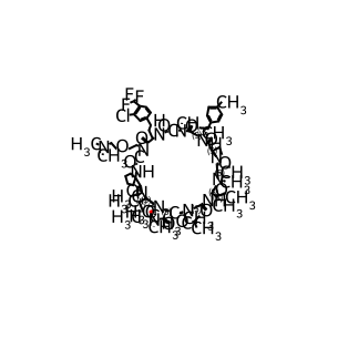 CC[C@H](C)[C@@H]1NC(=O)[C@H](CC(C)C)N(C)C(=O)C[C@@H](C(=O)N(C)C)N(C)C(=O)[C@H]([C@@H](C)CC)N(C)C(=O)C2(CCCC2)NC(=O)CN(CCOCCN(C)C)C(=O)C(CCc2ccc(C(F)(F)F)c(Cl)c2)NC(=O)CN(C)C(=O)[C@H](CCc2ccc(C)cc2)N(C)C(=O)[C@@H]2CCN2C(=O)[C@H](C)N(C)C1=O